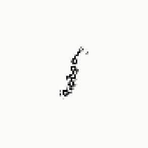 CCCCCC1CCC(c2ccc(-c3cc(F)c(-c4cc(F)c(C(F)(F)Oc5cc(F)c(F)c(F)c5)c(F)c4)c(F)c3)c(F)c2)CC1